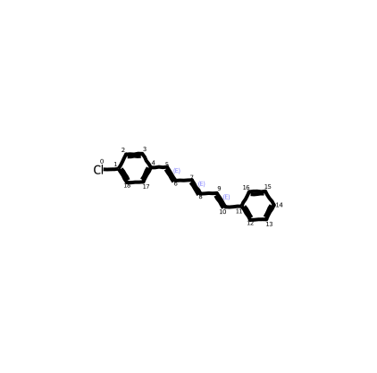 Clc1ccc(/C=C/C=C/C=C/c2ccccc2)cc1